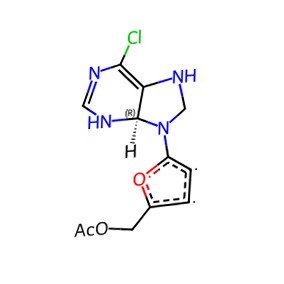 CC(=O)OCc1[c][c]c(N2CNC3=C(Cl)N=CN[C@@H]32)o1